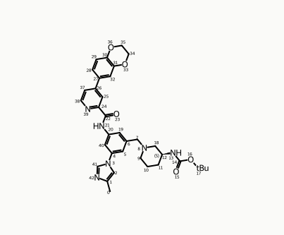 Cc1cn(-c2cc(CN3CCC[C@H](NC(=O)OC(C)(C)C)C3)cc(NC(=O)c3cc(-c4ccc5c(c4)OCCO5)ccn3)c2)cn1